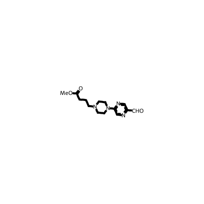 COC(=O)CCCN1CCN(c2cnc(C=O)cn2)CC1